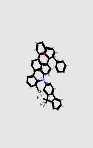 Cc1cccc(-c2ccc(-c3ccccc3)cc2)c1N(c1ccc(-c2ccccc2-c2ccccc2)cc1)c1ccc2c(c1)C(C)(C)c1ccccc1-2